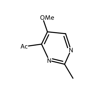 COc1cnc(C)nc1C(C)=O